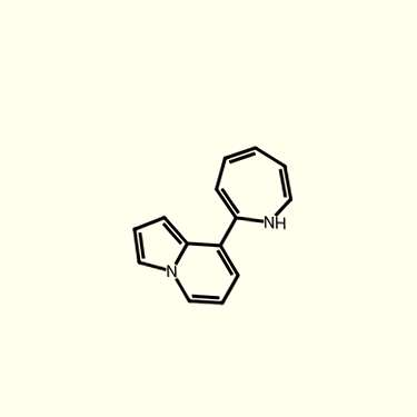 C1=CC=C(c2cccn3cccc23)NC=C1